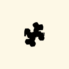 Fc1ccccc1-c1ccc2c(c1)c1cc3c4ccc(N(c5ccccc5)c5ccccc5)cc4c4ccc(-c5ccccc5F)cc4c3cc1c1ccc(N(C3=CCCC=C3)c3ccccc3)cc21